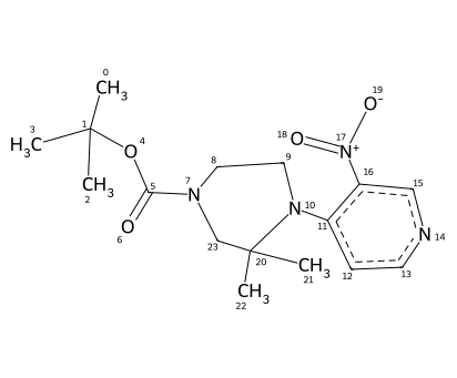 CC(C)(C)OC(=O)N1CCN(c2ccncc2[N+](=O)[O-])C(C)(C)C1